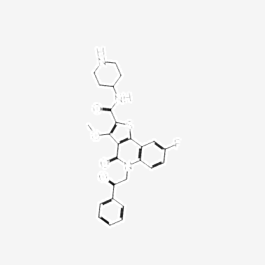 COc1c(C(=O)NC2CCNCC2)sc2c1c(=O)n(CC(=O)c1ccccc1)c1ccc(F)cc21